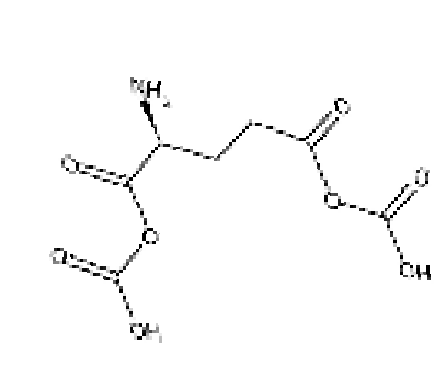 N[C@@H](CCC(=O)OC(=O)O)C(=O)OC(=O)O